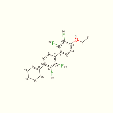 CCOc1ccc(-c2ccc(C3=CCCCC3)c(F)c2F)c(F)c1F